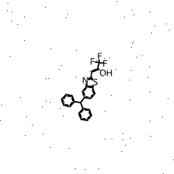 O/C(=C\c1nc2cc(C(c3ccccc3)c3ccccc3)ccc2s1)C(F)(F)F